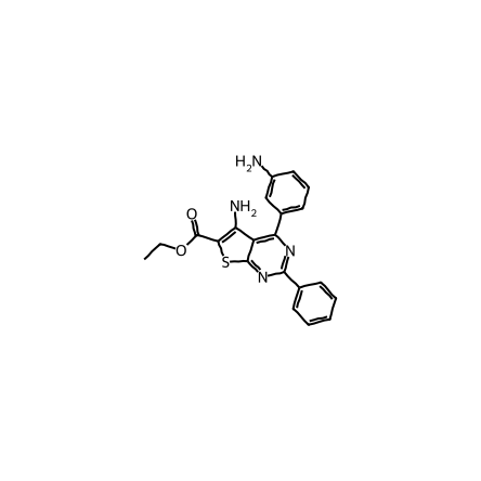 CCOC(=O)c1sc2nc(-c3ccccc3)nc(-c3cccc(N)c3)c2c1N